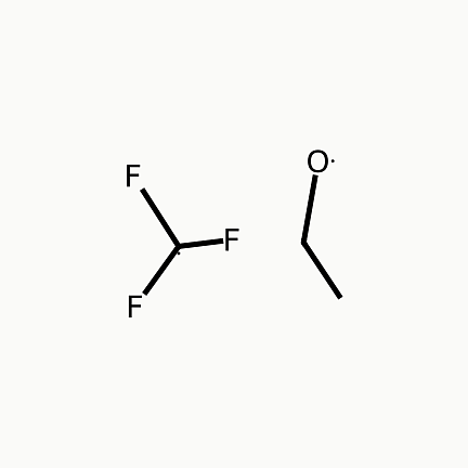 CC[O].F[C](F)F